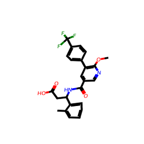 COc1ncc(C(=O)NC(CC(=O)O)c2ccccc2C)cc1-c1ccc(C(F)(F)F)cc1